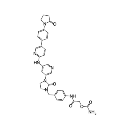 NC(=O)OCC(=O)Nc1ccc(CN2CCN(c3cncc(Nc4ccc(-c5ccc(N6CCCC6=O)cc5)cn4)c3)C2=O)cc1